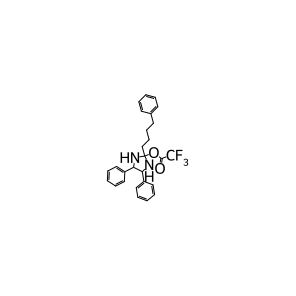 O=C(OC1(CCCCc2ccccc2)NC(c2ccccc2)C(c2ccccc2)N1)C(F)(F)F